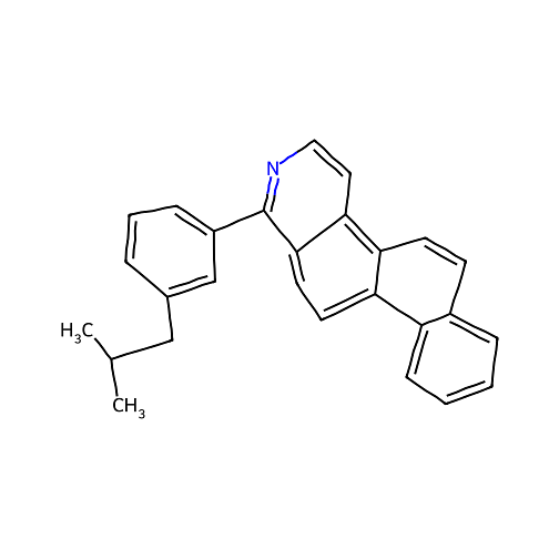 CC(C)Cc1cccc(-c2nccc3c2ccc2c4ccccc4ccc32)c1